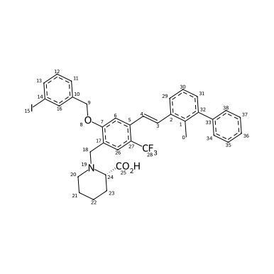 Cc1c(/C=C/c2cc(OCc3cccc(I)c3)c(CN3CCCC[C@H]3C(=O)O)cc2C(F)(F)F)cccc1-c1ccccc1